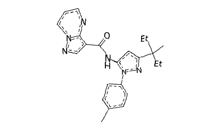 CCC(C)(CC)c1cc(NC(=O)c2cnn3cccnc23)n(-c2ccc(C)cc2)n1